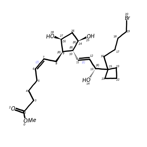 COC(=O)CCC/C=C\C[C@@H]1[C@@H](/C=C/[C@@H](O)C2(CCCCBr)CCC2)[C@H](O)C[C@@H]1O